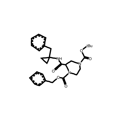 CC(C)(C)OC(=O)N1CCN(C(=O)OCc2ccccc2)C(C(=O)NC2(Cc3ccccc3)CC2)C1